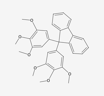 COc1cc(C2(c3cc(OC)c(OC)c(OC)c3)c3ccccc3-c3ccccc32)cc(OC)c1OC